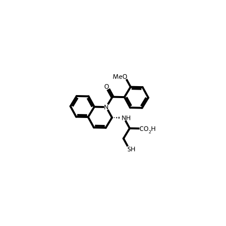 COc1ccccc1C(=O)N1c2ccccc2C=C[C@H]1NC(CS)C(=O)O